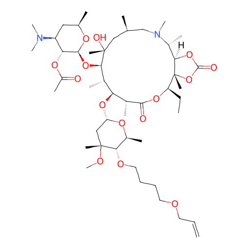 C=CCOCCCCO[C@H]1[C@H](C)O[C@@H](O[C@H]2[C@H](C)[C@@H](O[C@@H]3O[C@H](C)C[C@H](N(C)C)[C@H]3OC(C)=O)[C@](C)(O)C[C@@H](C)CN(C)[C@H](C)[C@H]3OC(=O)O[C@]3(C)[C@@H](CC)OC(=O)[C@@H]2C)C[C@@]1(C)OC